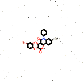 COc1ccc2c3oc(=O)c(Oc4ccc(Br)cc4)c(O)c3c(=O)n(-c3ccccc3)c2c1